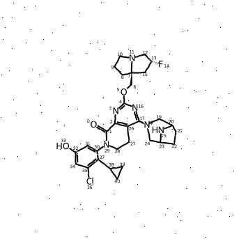 O=C1c2nc(OC[C@@]34CCCN3C[C@H](F)C4)nc(N3CC4CCC(C3)N4)c2CCN1c1cc(O)cc(Cl)c1C1CC1